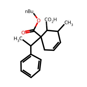 CCCCOC(=O)C1(C(C)c2ccccc2)CC=CC(C)C1C(=O)O